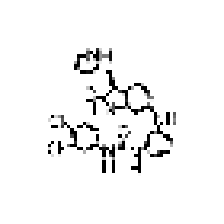 O=C(Nc1cccc(Nc2ccc3c(c2)NC(=O)C3=Cc2ccc[nH]2)c1)Nc1ccc(Cl)c(Cl)c1